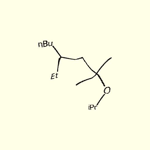 CCCCC(CC)CC(C)(C)OC(C)C